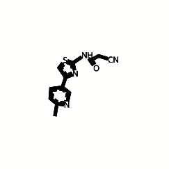 Cc1ccc(-c2csc(NC(=O)CC#N)n2)cn1